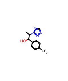 CC(C(O)c1ccc(C(F)(F)F)cc1)n1ncnn1